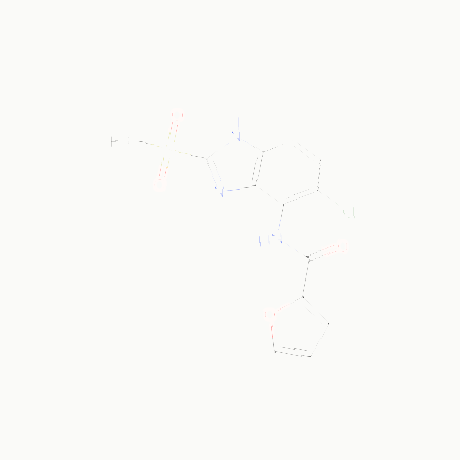 CS(=O)(=O)c1nc2c(NC(=O)c3ccco3)c(Cl)ccc2[nH]1